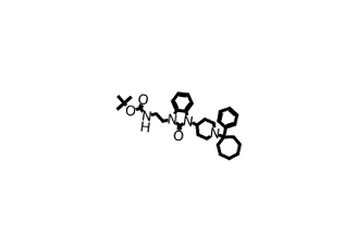 CC(C)(C)OC(=O)NCCn1c(=O)n(C2CCN(C3(c4ccccc4)CCCCCC3)CC2)c2ccccc21